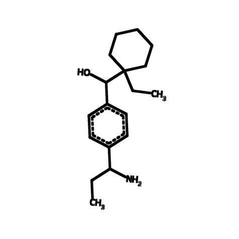 CCC(N)c1ccc(C(O)C2(CC)CCCCC2)cc1